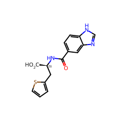 O=C(N[C@@H](Cc1cccs1)C(=O)O)c1ccc2[nH]cnc2c1